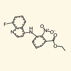 CCOC(=O)c1cccc(Nc2ccnc3c(F)cccc23)c1[N+](=O)[O-]